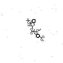 CCOC(=O)C1(Cc2ccc(C(OC)OC)cc2)C[C@@H]([C@H](Cc2ccccc2)NC(=O)OC(C)(C)C)OC1=O